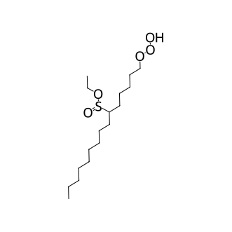 CCCCCCCCCC(CCCCCOOO)S(=O)OCC